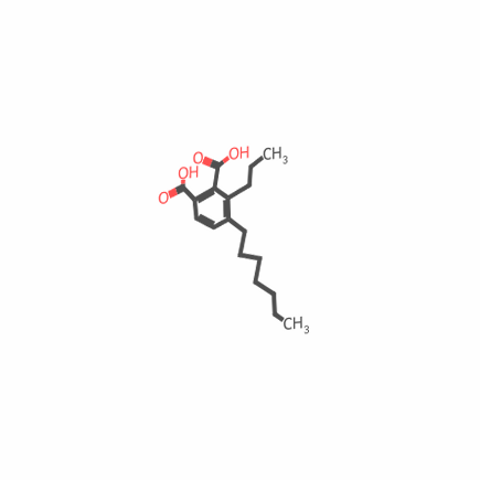 CCCCCCCc1ccc(C(=O)O)c(C(=O)O)c1CCC